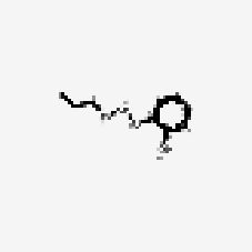 CCC[Se][Se]Oc1ccccc1O